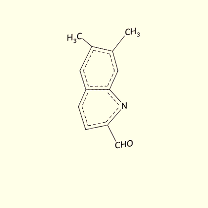 Cc1cc2ccc(C=O)nc2cc1C